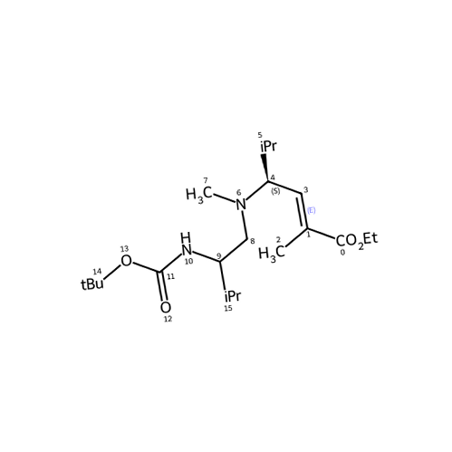 CCOC(=O)/C(C)=C/[C@H](C(C)C)N(C)CC(NC(=O)OC(C)(C)C)C(C)C